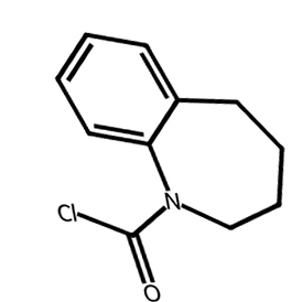 O=C(Cl)N1CCCCc2ccccc21